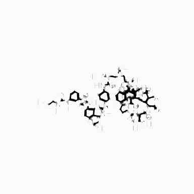 CCCNC(=O)Nc1cccc(S(=O)(=O)Nc2cccc([C@@H](CC(=O)O)NC(=O)Nc3ccc(NC(=O)N(C)CCN(C)CCN(C)CC(=O)N[C@@H](CC(N)=O)C(=O)N4CCC[C@H]4C(=O)N[C@H](C(=O)O[C@]4(CC)C(=O)OCc5c4cc4n(c5=O)Cc5c-4nc4ccccc4c5CC)C(C)C)cc3)c2)c1